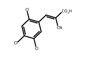 N#C/C(=C\c1cc(Cl)c(Cl)cc1Cl)C(=O)O